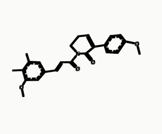 COc1ccc(C2=CCCN(C(=O)/C=C/c3cc(C)c(C)c(OC)c3)C2=O)cc1